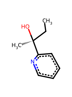 CC[C@](C)(O)c1ccccn1